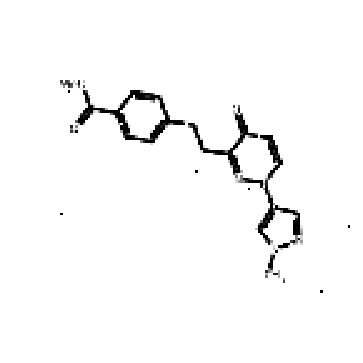 COC(=O)c1ccc(CCc2nn(-c3cnn(C)c3)ccc2=O)cc1